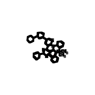 C[Si]1(C)c2ccccc2N(c2ncc(-c3cccc(C4CCCCC4)c3)cc2-c2nc(-c3ccccc3)nc(-c3ccccc3)n2)c2ccccc21